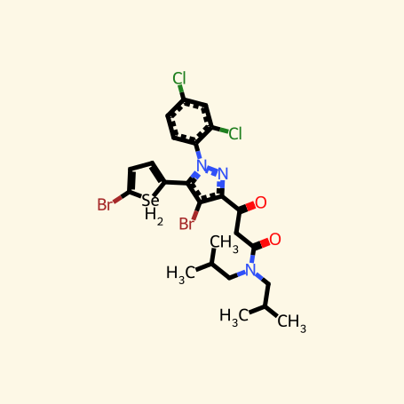 CC(C)CN(CC(C)C)C(=O)CC(=O)c1nn(-c2ccc(Cl)cc2Cl)c(C2=CC=C(Br)[SeH2]2)c1Br